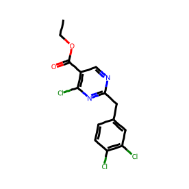 CCOC(=O)c1cnc(Cc2ccc(Cl)c(Cl)c2)nc1Cl